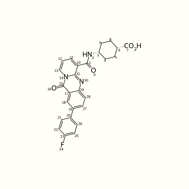 O=C(N[C@H]1CC[C@@H](C(=O)O)CC1)c1cccn2c(=O)c3cc(-c4ccc(F)cc4)ccc3nc12